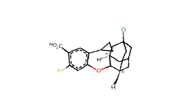 O=C(O)c1cc(C2CC2)c(OC2[C@@H]3CC4C[C@H]2CC(Cl)(C4)C3)cc1F